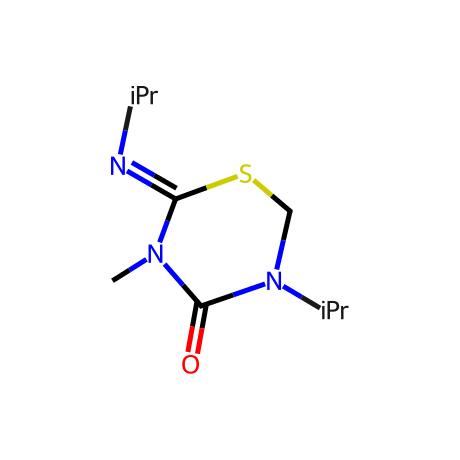 CC(C)N=C1SCN(C(C)C)C(=O)N1C